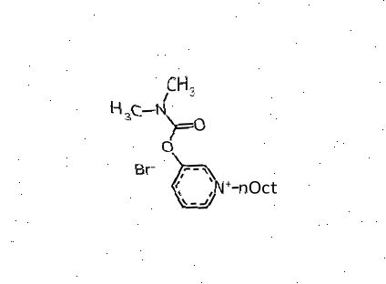 CCCCCCCC[n+]1cccc(OC(=O)N(C)C)c1.[Br-]